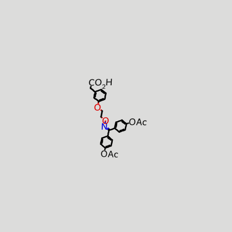 CC(=O)Oc1ccc(C(=NOCCOc2cccc(CC(=O)O)c2)c2ccc(OC(C)=O)cc2)cc1